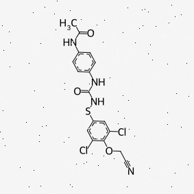 CC(=O)Nc1ccc(NC(=O)NSc2cc(Cl)c(OCC#N)c(Cl)c2)cc1